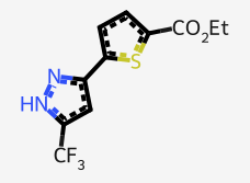 CCOC(=O)c1ccc(-c2cc(C(F)(F)F)[nH]n2)s1